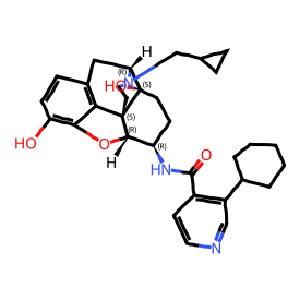 O=C(N[C@@H]1CC[C@@]2(O)[C@H]3Cc4ccc(O)c5c4[C@@]2(CCN3CC2CC2)[C@H]1O5)c1ccncc1C1CCCCC1